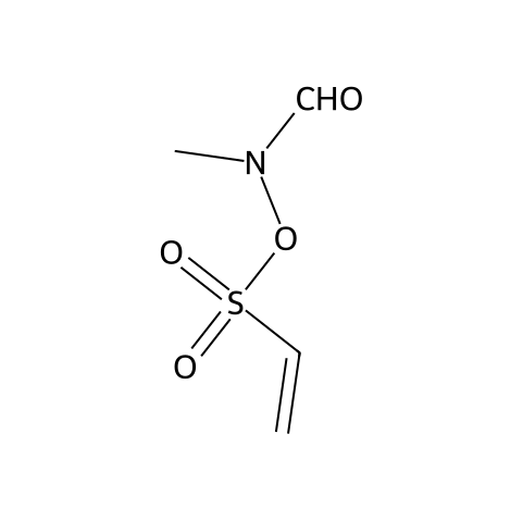 C=CS(=O)(=O)ON(C)C=O